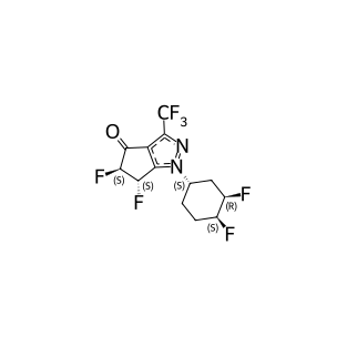 O=C1c2c(C(F)(F)F)nn([C@H]3CC[C@H](F)[C@H](F)C3)c2[C@H](F)[C@H]1F